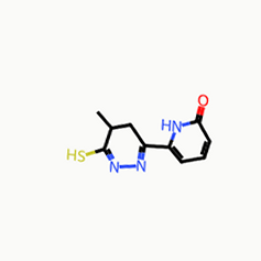 CC1CC(c2cccc(=O)[nH]2)=NN=C1S